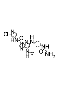 NCC(=O)NC1CCC(Nc2cc(NC3CC3)c3ncc(C(=O)Nc4ccnc(Cl)c4)n3n2)CC1